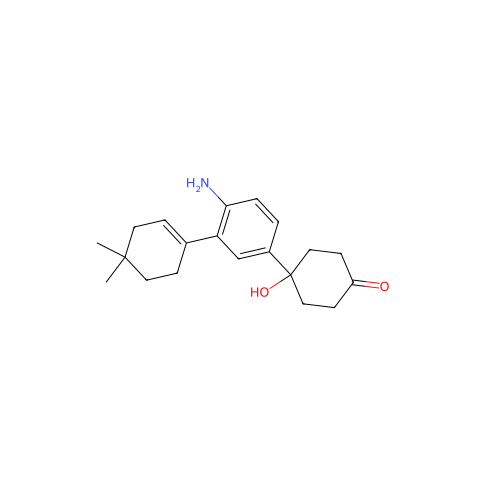 CC1(C)CC=C(c2cc(C3(O)CCC(=O)CC3)ccc2N)CC1